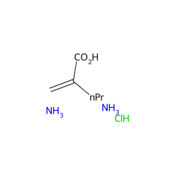 C=C(CCC)C(=O)O.Cl.N.N